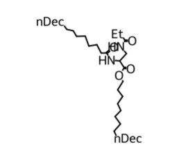 CCCCCCCCCCCCCCCCCCOC(=O)C(CNC(=O)CC)NC(=O)CCCCCCCCCCCCCCCCC